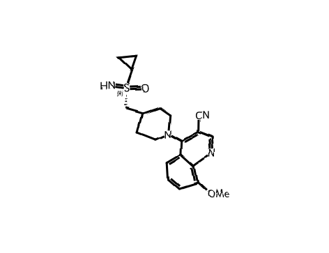 COc1cccc2c(N3CCC(C[S@@](=N)(=O)C4CC4)CC3)c(C#N)cnc12